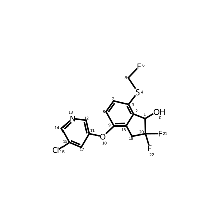 OC1c2c(SCF)ccc(Oc3cncc(Cl)c3)c2CC1(F)F